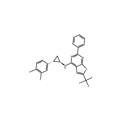 Fc1ccc([C@@H]2C[C@H]2Nc2nc(-c3ccccn3)nc3sc(C(F)(F)F)cc23)cc1F